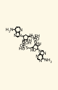 Nc1ccnc2c1ncn2[C@@H]1C[C@@H]2OP(=O)(S)O[C@H]3[C@@H](F)[C@H](n4cnc5c(N)ncnc54)O[C@@H]3CSP(=O)(O)O[C@@H]1[C@@H]2O